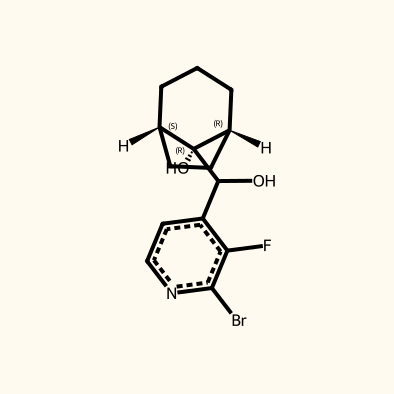 OC(c1ccnc(Br)c1F)[C@]1(O)[C@@H]2CCC[C@H]1CC2